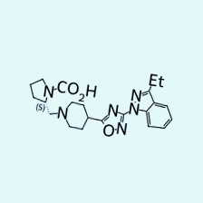 CCc1nn(-c2noc(C3CCN(C[C@@H]4CCCN4C(=O)O)CC3)n2)c2ccccc12